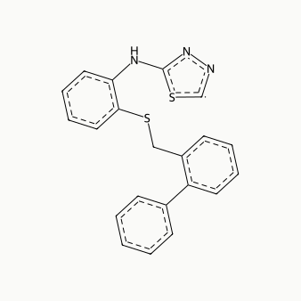 [c]1nnc(Nc2ccccc2SCc2ccccc2-c2ccccc2)s1